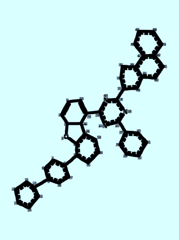 C1=CC2Oc3c(-c4ccc(-c5ccccc5)cc4)cccc3C2C(c2nc(-c3ccccc3)nc(-c3ccc4c(ccc5ccccc54)c3)n2)=C1